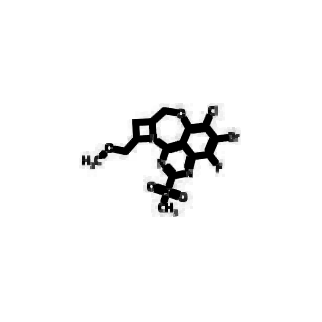 COCC1CC2COc3c(Cl)c(Br)c(F)c4nc(S(C)(=O)=O)nc(c34)N12